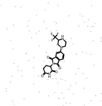 O=C1CCC(N2C(=O)c3ccc(N4CCNC(C(F)(F)F)C4)cc3C2=O)C(=O)N1